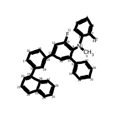 CN(c1ccccc1F)c1c(F)cc(-c2cccc(-c3cccc4ccccc34)c2)cc1-c1ccccc1